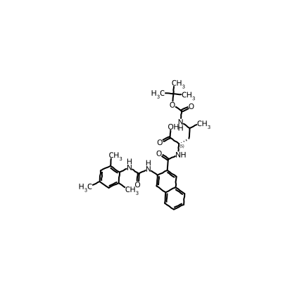 Cc1cc(C)c(NC(=O)Nc2cc3ccccc3cc2C(=O)N[C@@H](CC(C)NC(=O)OC(C)(C)C)C(=O)O)c(C)c1